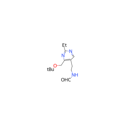 CCc1ncc(CCNC=O)c(COC(C)(C)C)n1